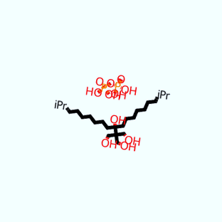 CC(C)CCCCCCCC(O)(CCCCCCCC(C)C)C(CO)(CO)CO.O=P(O)(O)OP(=O)(O)O